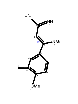 CN/C(=C\C(=N)C(F)(F)F)c1ccc(OC)c(C)c1